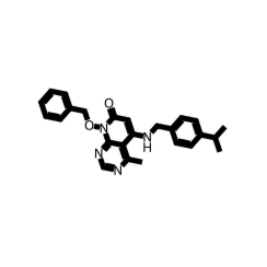 Cc1ncnc2c1c(NCc1ccc(C(C)C)cc1)cc(=O)n2OCc1ccccc1